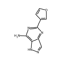 Nc1nc(-c2ccoc2)nc2cn[nH]c12